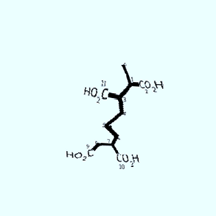 CC(C(=O)O)C(CC=CC(CC(=O)O)C(=O)O)C(=O)O